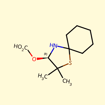 CC1(C)SC2(CCCCC2)N[C@@H]1OC(=O)O